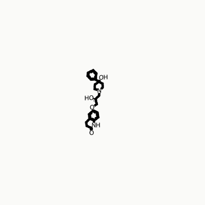 O=C1CCc2cc(OC[C@@H](O)CN3CCC(O)(c4ccccc4)CC3)ccc2N1